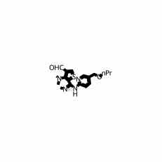 CCCOCc1ccc(N/C(=N/C)c2scc(C=O)c2N(C)C)nc1